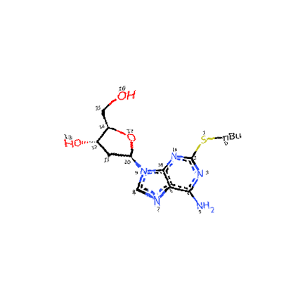 CCCCSc1nc(N)c2ncn([C@H]3C[C@H](O)[C@@H](CO)O3)c2n1